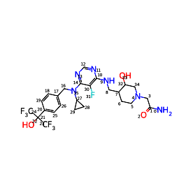 NC(=O)CN1CCC(CNc2ncnc(N(Cc3ccc(C(O)(C(F)(F)F)C(F)(F)F)cc3)C3CC3)c2F)C(O)C1